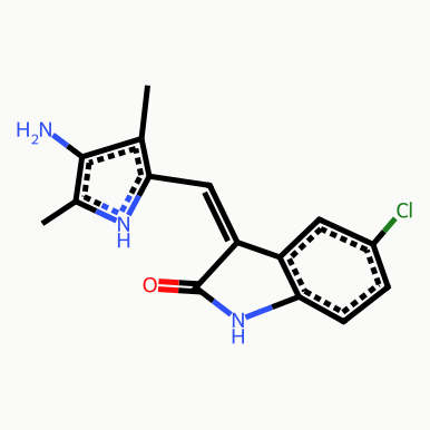 Cc1[nH]c(/C=C2\C(=O)Nc3ccc(Cl)cc32)c(C)c1N